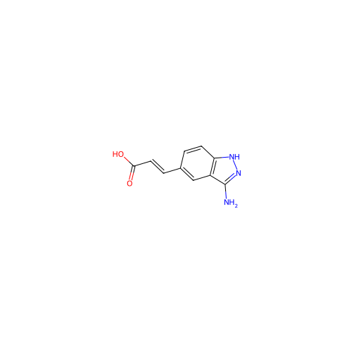 Nc1n[nH]c2ccc(C=CC(=O)O)cc12